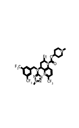 CCC1CC(N(Cc2cc(C(F)(F)F)cc(C(F)(F)F)c2)c2nnn(C)n2)c2nc(C(F)(F)F)ccc2N1C(=O)OC1CCN(C)CC1